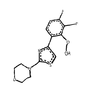 OOc1c(-c2csc(N3CCOCC3)n2)ccc(F)c1F